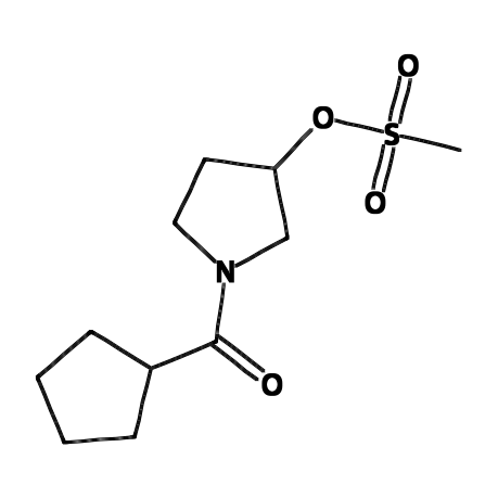 CS(=O)(=O)OC1CCN(C(=O)C2CCCC2)C1